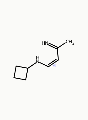 CC(=N)/C=C\NC1CCC1